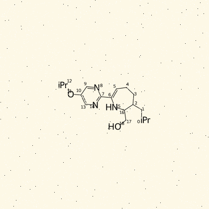 CC(C)CC1CCC=C(c2ncc(OC(C)C)cn2)NC1CO